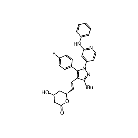 CCC(C)c1nn(-c2ccnc(Nc3ccccc3)c2)c(-c2ccc(F)cc2)c1/C=C/[C@@H]1CC(O)CC(=O)O1